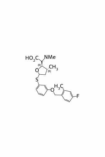 CNC(C(=O)O)[C@@H]1OC(Sc2cccc(OCc3ccc(F)cc3C)c2)C[C@H]1C